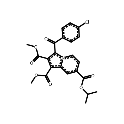 COC(=O)c1c(C(=O)OC)c2cc(C(=O)OC(C)C)ccn2c1C(=O)c1ccc(Cl)cc1